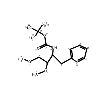 COCC(OC)C(Cc1ccccn1)NC(=O)OC(C)(C)C